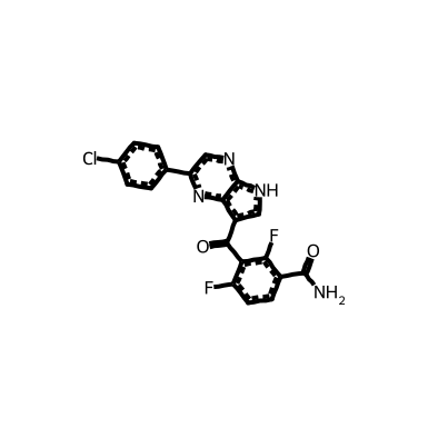 NC(=O)c1ccc(F)c(C(=O)c2c[nH]c3ncc(-c4ccc(Cl)cc4)nc23)c1F